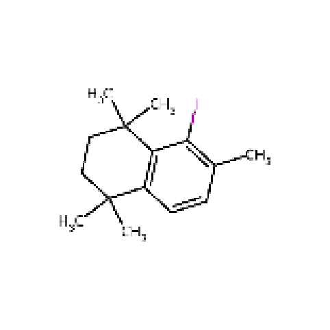 Cc1ccc2c(c1I)C(C)(C)CCC2(C)C